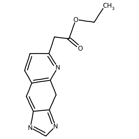 CCOC(=O)Cc1ccc2c(n1)CC1=NC=NC1=C2